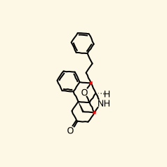 O=C1CCC2(OCCCc3ccccc3)[C@H]3Cc4ccccc4[C@@]2(CCN3)C1